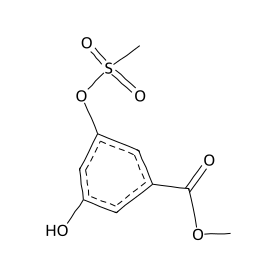 COC(=O)c1cc(O)cc(OS(C)(=O)=O)c1